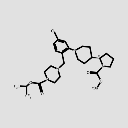 CC(C)(C)OC(=O)N1CCC[C@@H]1C1CCN(c2cc(Cl)ccc2CN2CCN(C(=O)OC(C(F)(F)F)C(F)(F)F)CC2)CC1